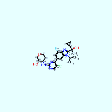 CC(C)n1c(C(C)(O)C2CC2)nc2c(F)cc(-c3nc(N[C@@H]4CCOC[C@H]4O)ncc3Cl)cc21